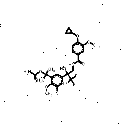 COc1cc(C(=O)NCC(O)(c2cc(C(C)(C)OC(N)=O)c(OC)c(Cl)n2)C(F)(F)F)ccc1OC1CC1